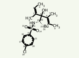 CC=C(C)C(O)(C(C)=CC)[C@@H](NS(=O)(=O)c1ccc(Cl)cc1)[C@@H](C)CC